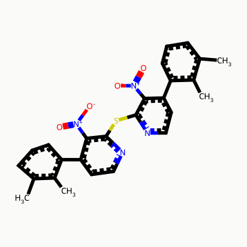 Cc1cccc(-c2ccnc(Sc3nccc(-c4cccc(C)c4C)c3[N+](=O)[O-])c2[N+](=O)[O-])c1C